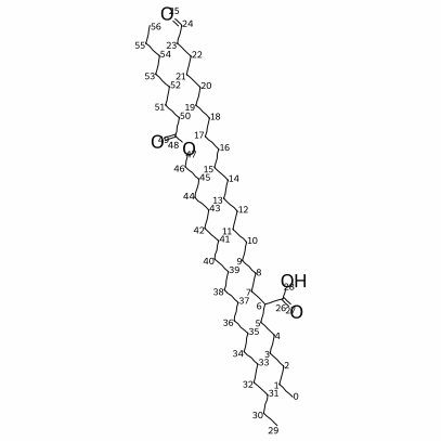 CCCCCCC(CCCCCCCCCCCCCCCCCC=O)C(=O)O.CCCCCCCCCCCCCCCCCCOC(=O)CCCCCCC